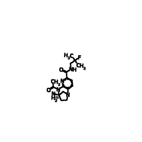 CC(=O)N1c2nc(C(=O)NCC(C)(C)F)ccc2N2CC[C@@]1(N)C2